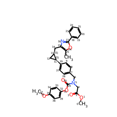 COC(=O)CN(Cc1ccc([C@H]2C[C@H]2Cc2nc(-c3ccccc3)oc2C)cc1)C(=O)Oc1ccc(OC)cc1